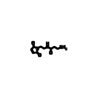 NCCC(=O)NCCN1C(=O)C=CC1=O